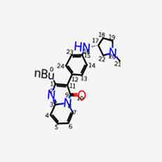 CCCCc1nc2ccccn2c(=O)c1-c1ccc(N[C@@H]2CCN(C)C2)cc1